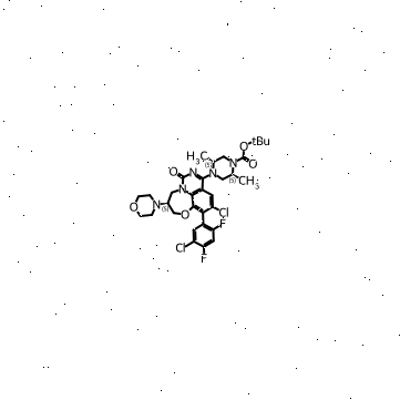 C[C@H]1CN(c2nc(=O)n3c4c(c(-c5cc(Cl)c(F)cc5F)c(Cl)cc24)OC[C@@H](N2CCOCC2)C3)[C@@H](C)CN1C(=O)OC(C)(C)C